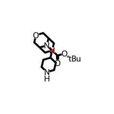 CC(C)(C)OC(=O)N1CC2COCC(C1)N2CC1CCNCC1